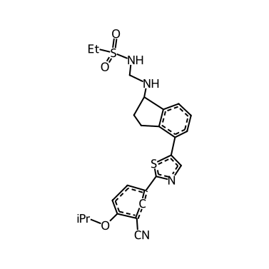 CCS(=O)(=O)NCNC1CCc2c(-c3cnc(-c4ccc(OC(C)C)c(C#N)c4)s3)cccc21